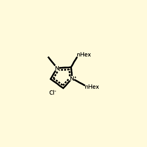 CCCCCCc1n(C)cc[n+]1CCCCCC.[Cl-]